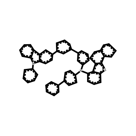 c1ccc(-c2ccc(N(c3cccc(-c4cccc(-c5ccc6c(c5)c5ccccc5n6-c5ccccc5)c4)c3)c3cccc4sc5c6ccccc6ccc5c34)cc2)cc1